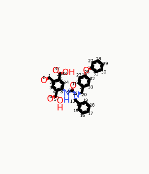 O=Cc1cc(C(=O)O)c(NC(=O)N(Cc2ccccc2)Cc2ccc(Oc3ccccc3)cc2)cc1C(=O)O